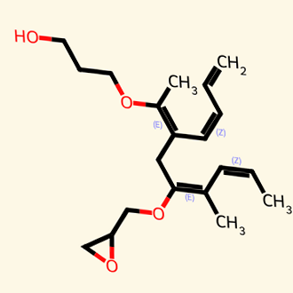 C=C/C=C\C(C/C(OCC1CO1)=C(C)\C=C/C)=C(/C)OCCCO